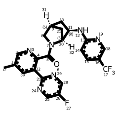 Cc1cnc(C(=O)N2C[C@H]3C[C@@H](Nc4ccc(C(F)(F)F)cn4)[C@@H]2C3)c(-c2ncc(F)cn2)c1